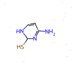 NC1=NC(S)NC=C1